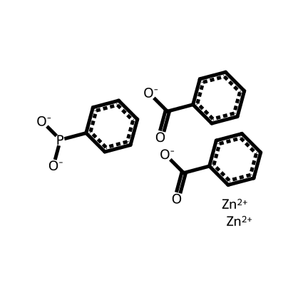 O=C([O-])c1ccccc1.O=C([O-])c1ccccc1.[O-]P([O-])c1ccccc1.[Zn+2].[Zn+2]